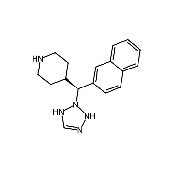 C1=NNN([C@H](c2ccc3ccccc3c2)C2CCNCC2)N1